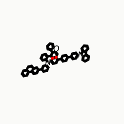 c1cc(-c2ccc3c(ccc4ccccc43)c2)cc(N(c2ccc(-c3ccc(-c4ccc(-n5c6ccccc6c6ccccc65)cc4)cc3)cc2)c2ccccc2-c2cccc3oc4ccccc4c23)c1